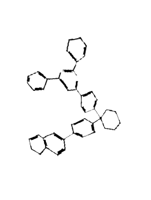 C1=CC(c2nc(-c3ccccc3)cc(-c3ccc(C4(c5ccc(-c6ccc7c(c6)C=CCC7)cc5)CCCCC4)cc3)n2)=CCC1